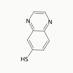 Sc1ccc2nccnc2c1